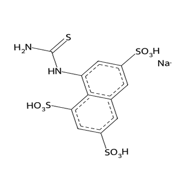 NC(=S)Nc1cc(S(=O)(=O)O)cc2cc(S(=O)(=O)O)cc(S(=O)(=O)O)c12.[Na]